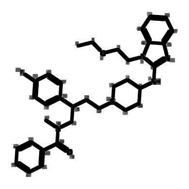 CCOCCn1c(NC2CCN(CCC(CN(C)C(=O)c3ccccc3)c3ccc(F)cc3)CC2)nc2ccccc21